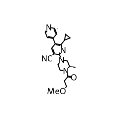 COCCC(=O)N1CCN(c2nc(C3CC3)c(-c3c[c]ncc3)cc2C#N)C[C@H]1C